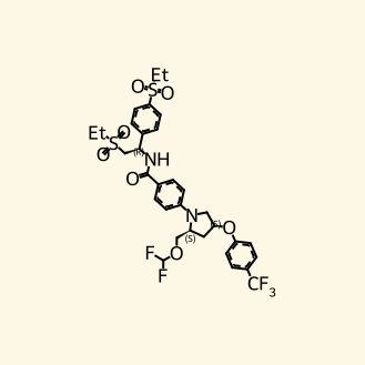 CCS(=O)(=O)C[C@H](NC(=O)c1ccc(N2C[C@@H](Oc3ccc(C(F)(F)F)cc3)C[C@H]2COC(F)F)cc1)c1ccc(S(=O)(=O)CC)cc1